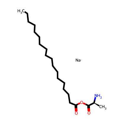 CCCCCCCCCCCCCCCCCC(=O)OC(=O)[C@H](C)N.[Na]